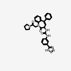 O=C(Nc1cccc(-c2nnn[nH]2)c1)NC1C=C(c2ccccc2)c2ccccc2N(CC(=O)N2CCCC2)C1=O